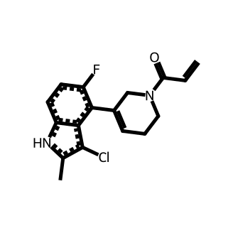 C=CC(=O)N1CCC=C(c2c(F)ccc3[nH]c(C)c(Cl)c23)C1